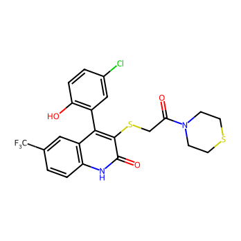 O=C(CSc1c(-c2cc(Cl)ccc2O)c2cc(C(F)(F)F)ccc2[nH]c1=O)N1CCSCC1